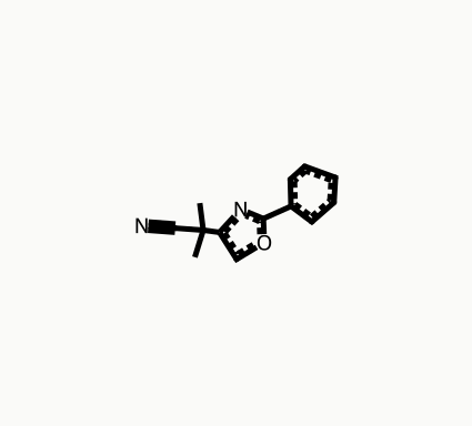 CC(C)(C#N)c1coc(-c2ccccc2)n1